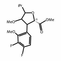 COC(=O)[C@H]1OC(C(C)C)C(OC)C1c1ccc(F)c(F)c1OC